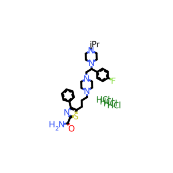 CC(C)N1CCN(C(CN2CCN(CCCc3sc(C(N)=O)nc3-c3ccccc3)CC2)c2ccc(F)cc2)CC1.Cl.Cl.Cl.Cl